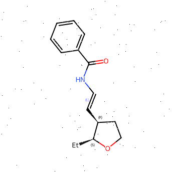 CC[C@@H]1OCC[C@@H]1/C=C/NC(=O)c1ccccc1